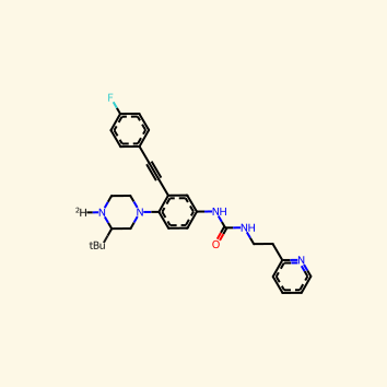 [2H]N1CCN(c2ccc(NC(=O)NCCc3ccccn3)cc2C#Cc2ccc(F)cc2)CC1C(C)(C)C